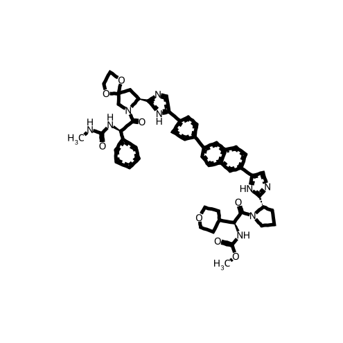 CNC(=O)N[C@@H](C(=O)N1CC2(C[C@H]1c1ncc(-c3ccc(-c4ccc5cc(-c6cnc([C@@H]7CCCN7C(=O)[C@@H](NC(=O)OC)C7CCOCC7)[nH]6)ccc5c4)cc3)[nH]1)OCCO2)c1ccccc1